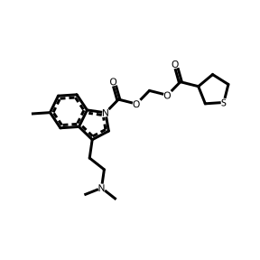 Cc1ccc2c(c1)c(CCN(C)C)cn2C(=O)OCOC(=O)C1CCSC1